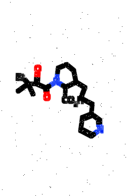 CCC(C)(C)C(=O)C(=O)N1CCCC(CCCc2cccnc2)C1C(=O)O